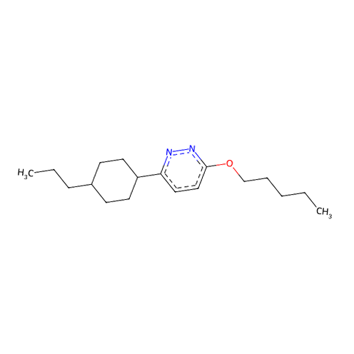 CCCCCOc1ccc(C2CCC(CCC)CC2)nn1